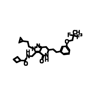 CC(F)(F)COc1cccc(CCC2Cc3nn(CCC4CC4)c(CNC(=O)C4CCC4)c3C(=O)N2)c1